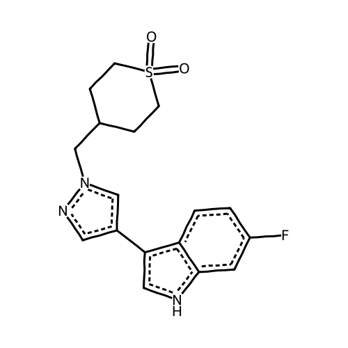 O=S1(=O)CCC(Cn2cc(-c3c[nH]c4cc(F)ccc34)cn2)CC1